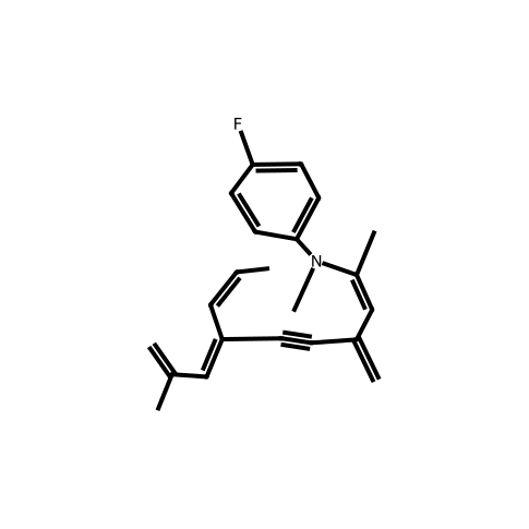 C=C(C#CC(/C=C\C)=C/C(=C)C)/C=C(/C)N(C)c1ccc(F)cc1